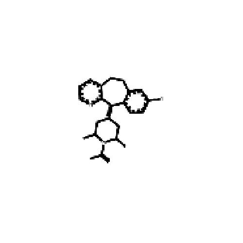 CC(=O)N1C(C)CC(=C2c3ccc(Cl)cc3CCc3cccnc32)CC1C